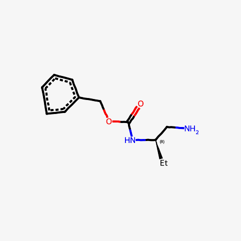 CC[C@H](CN)NC(=O)OCc1ccccc1